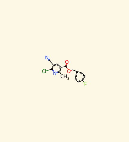 Cc1nc(Cl)c(C#N)cc1C(=O)OCc1ccc(F)cc1